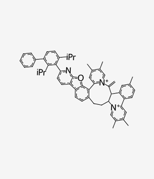 C=C1C2c3cc(C)ccc3-c3cc(C)c(C)c[n+]3C2CCc2ccc3c(oc4nc(-c5c(C(C)C)ccc(-c6ccccc6)c5C(C)C)ccc43)c2-c2cc(C)c(C)c[n+]21